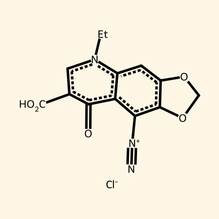 CCn1cc(C(=O)O)c(=O)c2c([N+]#N)c3c(cc21)OCO3.[Cl-]